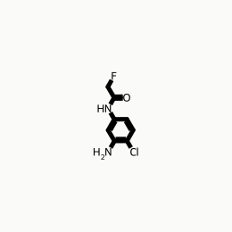 Nc1cc(NC(=O)CF)ccc1Cl